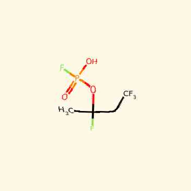 CC(F)(CC(F)(F)F)OP(=O)(O)F